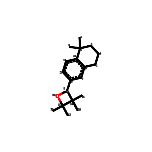 CC1(C)CCCc2cc(B3OC(C)(C)C3(C)C)ccc21